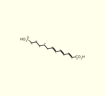 O=C(O)C=CC=CC=CCCCCCC(=O)O